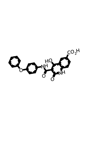 O=C(O)c1ccc2[nH]c(=O)c(C(=O)Nc3ccc(Oc4ccccc4)cc3)c(O)c2c1